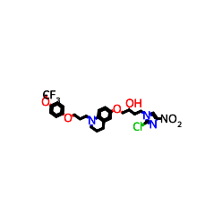 O=[N+]([O-])c1cn(CC[C@@H](O)COc2ccc3c(c2)CCCN3CCCOc2ccc(OC(F)(F)F)cc2)c(Cl)n1